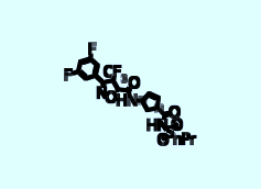 CCCS(=O)(=O)NC(=O)[C@@H]1C=C[C@H](NC(=O)C2ON=C(c3cc(F)cc(F)c3)C2C(F)(F)F)C1